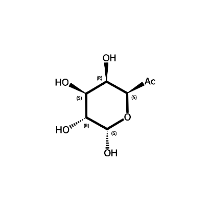 CC(=O)[C@H]1O[C@H](O)[C@H](O)[C@@H](O)[C@H]1O